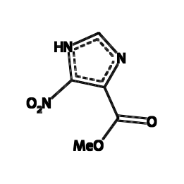 COC(=O)c1nc[nH]c1[N+](=O)[O-]